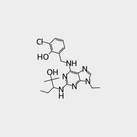 CCC(Nc1nc(NCc2cccc(Cl)c2O)c2ncn(CC)c2n1)C(C)(C)O